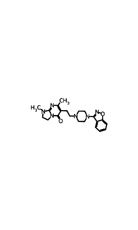 Cc1nc2n(c(=O)c1CCN1CCN(c3noc4ccccc34)CC1)CCN2C